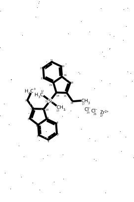 CCC1=Cc2ccccc2C1[Si](C)(C)C1C(CC)=Cc2ccccc21.[Cl-].[Cl-].[Zr+2]